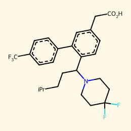 CC(C)CCC(c1ccc(CC(=O)O)cc1-c1ccc(C(F)(F)F)cc1)N1CCC(F)(F)CC1